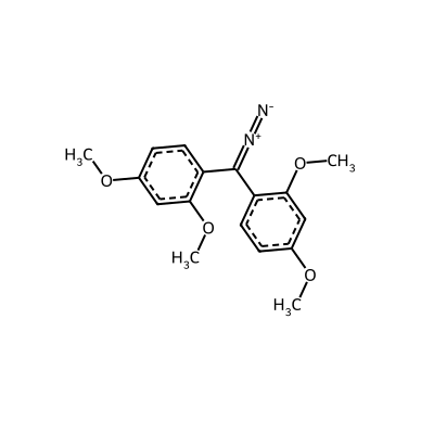 COc1ccc(C(=[N+]=[N-])c2ccc(OC)cc2OC)c(OC)c1